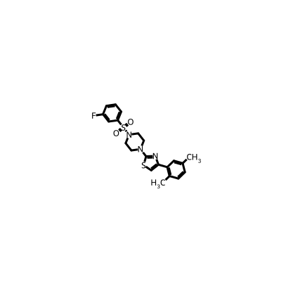 Cc1ccc(C)c(-c2csc(N3CCN(S(=O)(=O)c4cccc(F)c4)CC3)n2)c1